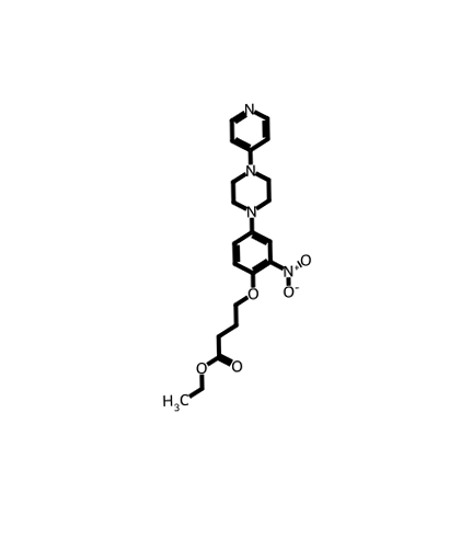 CCOC(=O)CCCOc1ccc(N2CCN(c3ccncc3)CC2)cc1[N+](=O)[O-]